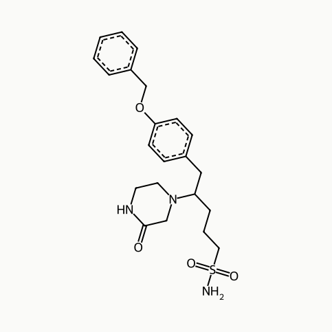 NS(=O)(=O)CCCC(Cc1ccc(OCc2ccccc2)cc1)N1CCNC(=O)C1